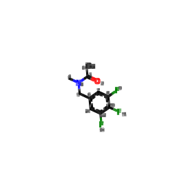 CCC(C)C(=O)N(C)Cc1cc(F)c(F)c(F)c1